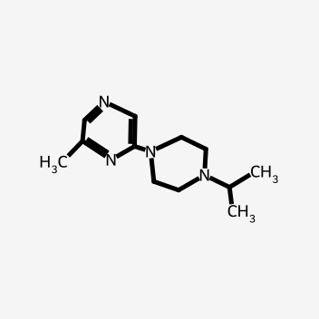 Cc1cncc(N2CCN(C(C)C)CC2)n1